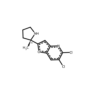 C[C@@]1(c2cc3nc(Cl)c(Cl)cc3o2)CCCN1